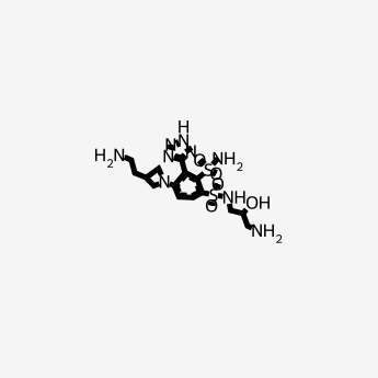 NCCC1CN(c2ccc(S(=O)(=O)NCC(O)CN)c(S(N)(=O)=O)c2-c2nn[nH]n2)C1